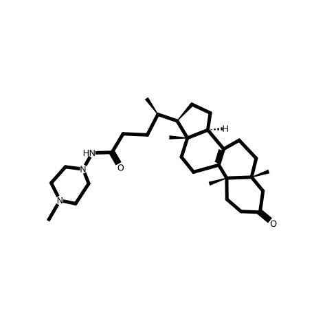 C[C@H](CCC(=O)NN1CCN(C)CC1)[C@H]1CC[C@H]2C3=C(CC[C@]12C)[C@@]1(C)CCC(=O)C[C@@]1(C)CC3